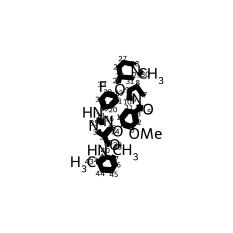 COc1cc(C(=O)N2CCCC2)ccc1Oc1nc(Nc2ccc(OCC3CCCN(C)C3)c(F)c2)ncc1C(=O)Nc1c(C)cccc1C